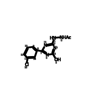 CC(=O)NNc1nc(O)nc(-c2cccc(Cl)c2)n1